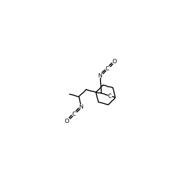 CC(CC12CCC(CC1)CC2N=C=O)N=C=O